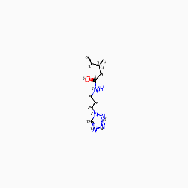 CC[C@@H](C)[CH]C(=O)NCCCn1cnnn1